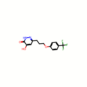 O=c1[nH]nc(CCCOc2ccc(C(F)(F)F)cc2)cc1O